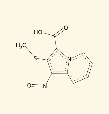 CSc1c(N=O)c2ccccn2c1C(=O)O